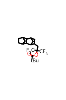 CC(C)(C)C(=O)OC(CC1CC2CC1C1C3CCC(C3)C21)(C(F)(F)F)C(F)(F)F